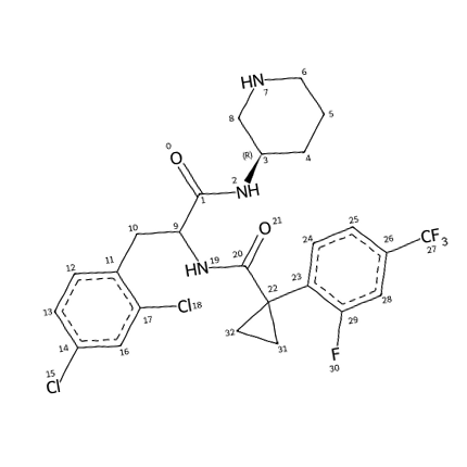 O=C(N[C@@H]1CCCNC1)C(Cc1ccc(Cl)cc1Cl)NC(=O)C1(c2ccc(C(F)(F)F)cc2F)CC1